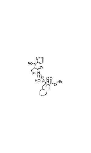 CC(=O)N(c1ccccn1)C(CC(C)C)C(=O)NC[C@H](O)[C@H](O)[C@H](CC1CCCCC1)NC(=O)OC(C)(C)C